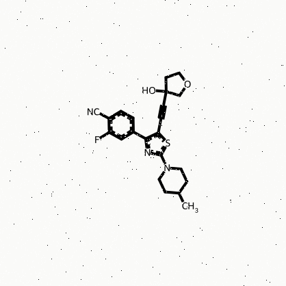 CC1CCN(c2nc(-c3ccc(C#N)c(F)c3)c(C#CC3(O)CCOC3)s2)CC1